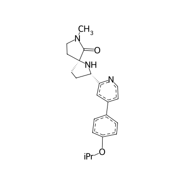 CC(C)Oc1ccc(-c2ccnc([C@@H]3CC[C@@]4(CCN(C)C4=O)N3)c2)cc1